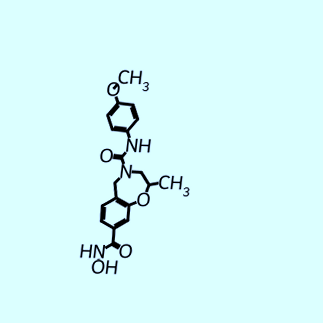 COc1ccc(NC(=O)N2Cc3ccc(C(=O)NO)cc3OC(C)C2)cc1